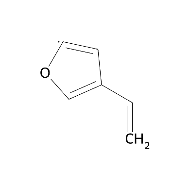 C=Cc1c[c]oc1